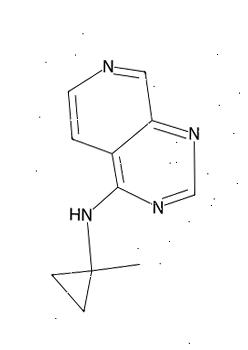 CC1(Nc2ncnc3cnccc23)CC1